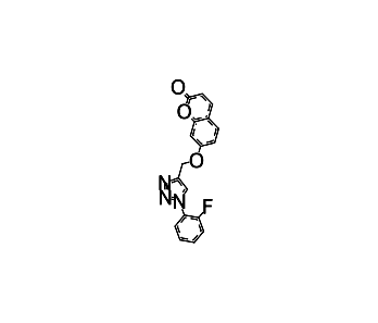 O=c1ccc2ccc(OCc3cn(-c4ccccc4F)nn3)cc2o1